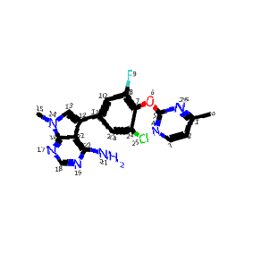 Cc1ccnc(Oc2c(F)cc(-c3cn(C)c4ncnc(N)c34)cc2Cl)n1